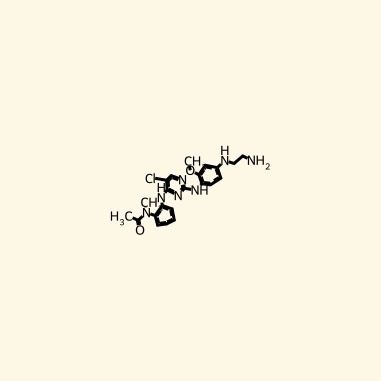 COc1cc(NCCN)ccc1Nc1ncc(Cl)c(Nc2ccccc2N(C)C(C)=O)n1